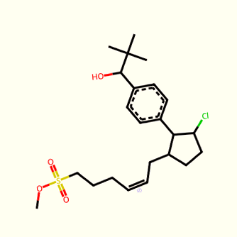 COS(=O)(=O)CCC/C=C\CC1CCC(Cl)C1c1ccc(C(O)C(C)(C)C)cc1